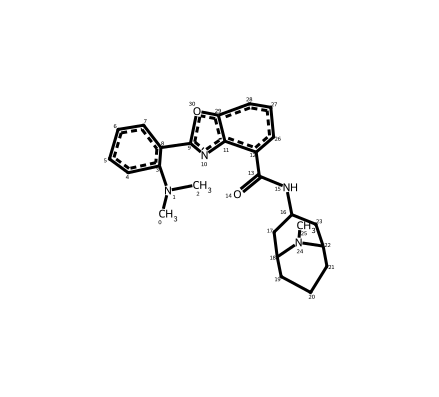 CN(C)c1ccccc1-c1nc2c(C(=O)NC3CC4CCCC(C3)N4C)cccc2o1